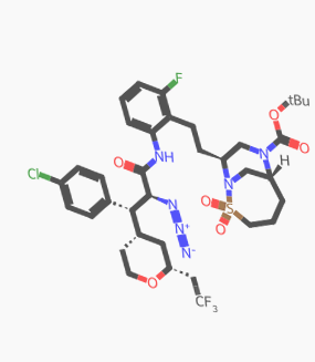 CC(C)(C)OC(=O)N1C[C@H](CCc2c(F)cccc2NC(=O)[C@@H](N=[N+]=[N-])[C@@H](c2ccc(Cl)cc2)[C@H]2CCO[C@@H](CC(F)(F)F)C2)N2C[C@H]1CCCS2(=O)=O